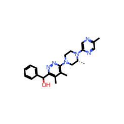 Cc1cnc(N2CCN(c3nnc(C(O)c4ccccc4)c(C)c3C)C[C@H]2C)cn1